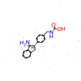 N[C@H]1c2ccccc2C[C@@H]1c1ccc(CNC(=O)O)cc1